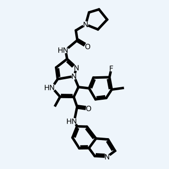 CC1=C(C(=O)Nc2ccc3cnccc3c2)C(c2ccc(C)c(F)c2)n2nc(NC(=O)CN3CCCC3)cc2N1